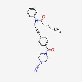 CCCCC(=O)N(CC#Cc1ccc(C(=O)N2CCN(C#N)CC2)cc1)c1ccccc1